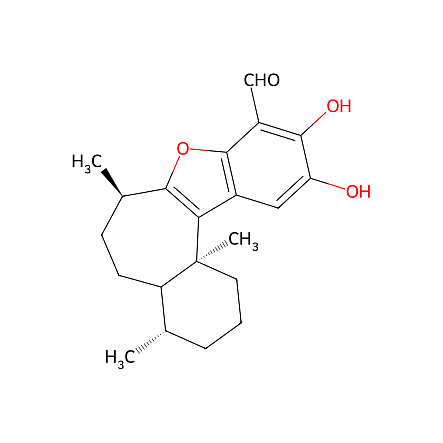 C[C@@H]1CCC2[C@@H](C)CCC[C@]2(C)c2c1oc1c(C=O)c(O)c(O)cc21